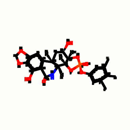 Cc1cc(OP2(=O)O[C@H]3[C@@H]4NC(=O)c5c(cc6c(c5O)OCO6)[C@H]4C[C@H](O)[C@H]3O2)cc(C)c1C